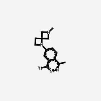 [2H]c1nnc(C)c2ccc(N3CCC34CN(C)C4)cc12